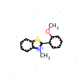 COc1ccccc1-c1sc2ccccc2[n+]1C